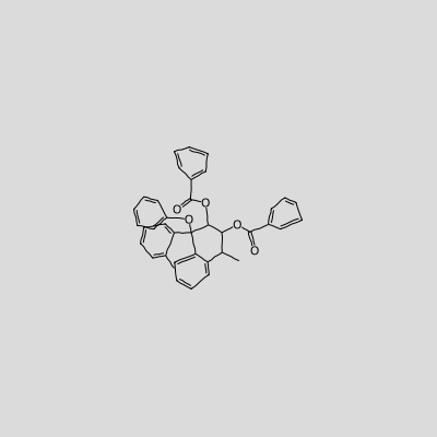 Cc1ccccc1C1(Oc2ccccc2)c2ccccc2C(C)C(OC(=O)c2ccccc2)C1OC(=O)c1ccccc1